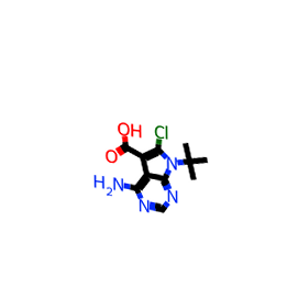 CC(C)(C)n1c(Cl)c(C(=O)O)c2c(N)ncnc21